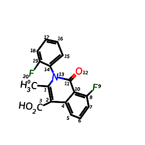 Cc1c(C(=O)O)c2cccc(F)c2c(=O)n1-c1ccccc1F